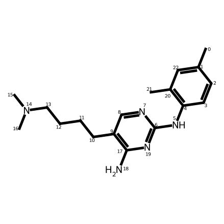 Cc1ccc(Nc2ncc(CCCCN(C)C)c(N)n2)c(C)c1